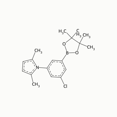 Cc1ccc(C)n1-c1cc(Cl)cc(B2OC(C)(C)C(C)(C)O2)c1